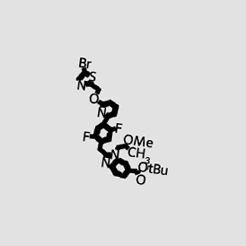 COC(C)Cn1c(Cc2cc(F)c(-c3cccc(OCc4ncc(Br)s4)n3)cc2F)nc2ccc(C(=O)OC(C)(C)C)cc21